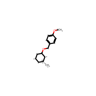 COc1ccc(COC2CCC[C@@H](C)C2)cc1